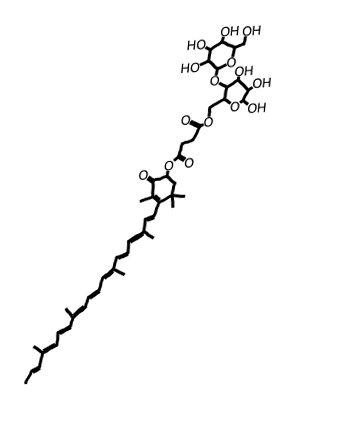 C/C=C/C(C)=C/C=C/C(C)=C/C=C/C=C(C)/C=C/C=C(C)/C=C/C1=C(C)C(=O)C(OC(=O)CCC(=O)OCC2OC(O)C(O)C(O)C2OC2OC(CO)C(O)C(O)C2O)CC1(C)C